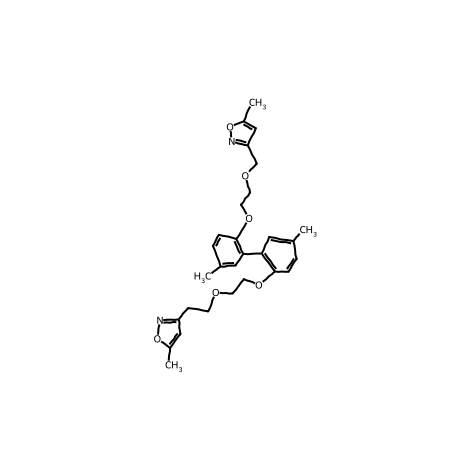 Cc1ccc(OCCOCCc2cc(C)on2)c(-c2cc(C)ccc2OCCOCc2cc(C)on2)c1